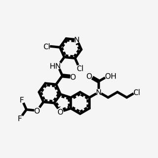 O=C(Nc1c(Cl)cncc1Cl)c1ccc(OC(F)F)c2oc3ccc(N(CCCCl)C(=O)O)cc3c12